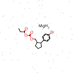 CCC(=O)OC(=O)OCC1CCCC1c1ccc(Br)cc1.[MgH2]